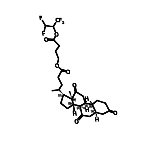 CC(CCC(=O)OCCCC(=O)OC(C(F)F)C(F)(F)F)[C@H]1CC[C@H]2[C@@H]3C(=O)C[C@@H]4CC(=O)CC[C@]4(C)[C@H]3CC(=O)[C@]12C